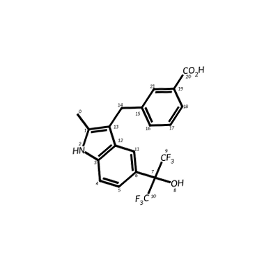 Cc1[nH]c2ccc(C(O)(C(F)(F)F)C(F)(F)F)cc2c1Cc1cccc(C(=O)O)c1